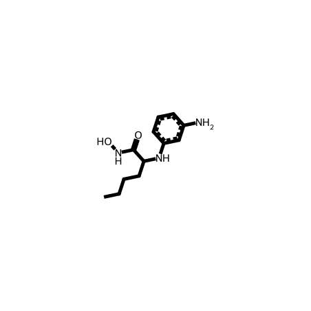 CCCCC(Nc1cccc(N)c1)C(=O)NO